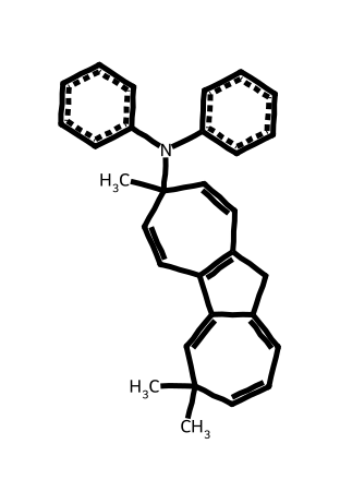 CC1(C)C=CC=C2CC3=C(C=CC(C)(N(c4ccccc4)c4ccccc4)C=C3)C2=C1